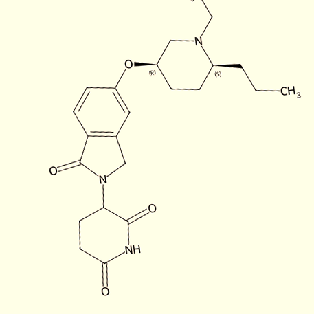 CCC[C@H]1CC[C@@H](Oc2ccc3c(c2)CN(C2CCC(=O)NC2=O)C3=O)CN1CC